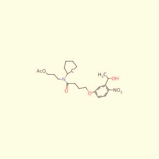 CC(=O)OCCCN(C(=O)CCCOc1ccc([N+](=O)[O-])c(C(C)O)c1)C1CCCCC1